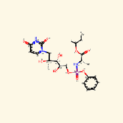 CC(C)CC(C)OC(=O)[C@H](C)NP(=O)(OCC(O)[C@@H](O)[C@@](C)(O)Cn1ccc(=O)[nH]c1=O)Oc1ccccc1